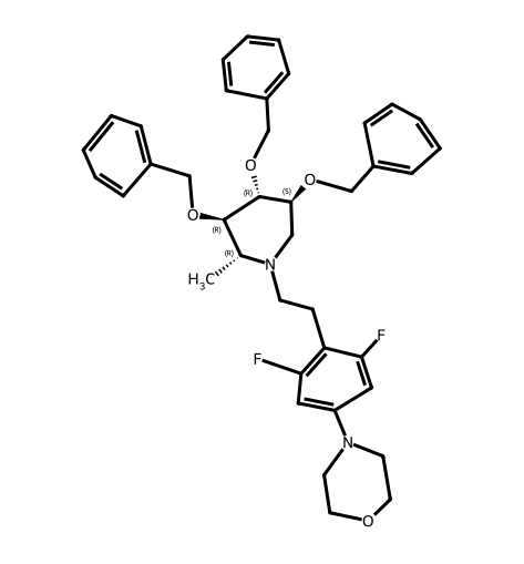 C[C@@H]1[C@@H](OCc2ccccc2)[C@H](OCc2ccccc2)[C@@H](OCc2ccccc2)CN1CCc1c(F)cc(N2CCOCC2)cc1F